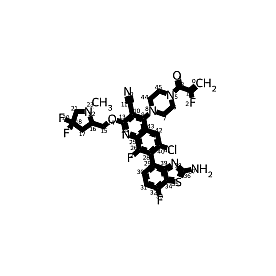 C=C(F)C(=O)N1CCN(c2c(C#N)c(OCC3CC(F)(F)CN3C)nc3c(F)c(-c4ccc(F)c5sc(N)nc45)c(Cl)cc23)CC1